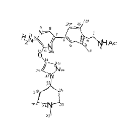 CC(=O)NCc1c(C)cc(-c2cnc(N)c(Oc3cnn(C4CCN(C)CC4)c3)n2)cc1C